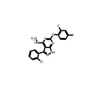 NNc1nc(Oc2ccc(F)cc2F)nc2[nH]nc(-c3ccccc3Cl)c12